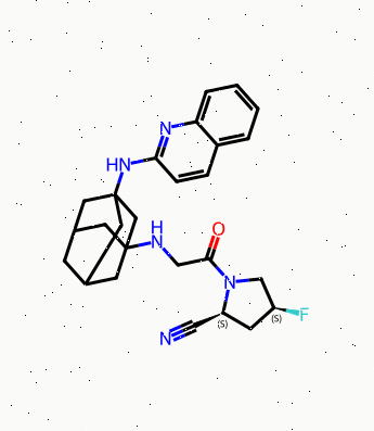 N#C[C@@H]1C[C@H](F)CN1C(=O)CNC12CC3CC(C1)CC(Nc1ccc4ccccc4n1)(C3)C2